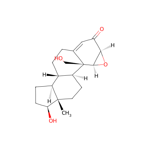 C[C@]12CC[C@H]3[C@@H](CCC4=CC(=O)[C@H]5O[C@H]5[C@@]43CO)[C@@H]1CC[C@@H]2O